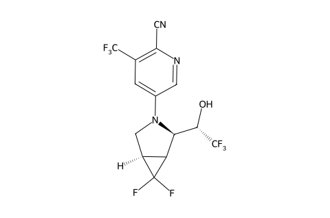 N#Cc1ncc(N2C[C@H]3C([C@@H]2[C@H](O)C(F)(F)F)C3(F)F)cc1C(F)(F)F